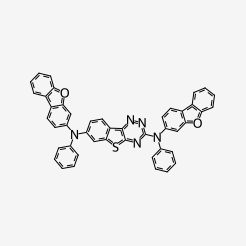 c1ccc(N(c2ccc3c(c2)oc2ccccc23)c2ccc3c(c2)sc2nc(N(c4ccccc4)c4ccc5c(c4)oc4ccccc45)nnc23)cc1